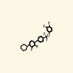 Fc1ccc(OC(F)(F)c2ccc(-c3ccc(C4CCCCC4)c(F)c3F)cc2)cc1F